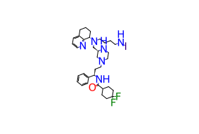 O=C(N[C@H](CCN1CCN[C@H](CN(CCCCNI)[C@H]2CCCc3cccnc32)C1)c1ccccc1)C1CCC(F)(F)CC1